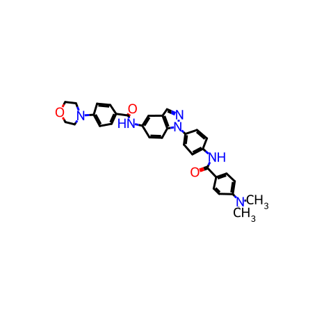 CN(C)c1ccc(C(=O)Nc2ccc(-n3ncc4cc(NC(=O)c5ccc(N6CCOCC6)cc5)ccc43)cc2)cc1